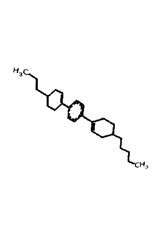 CCCCCC1CC=C(c2ccc(C3=CCC(CCC)CC3)cc2)CC1